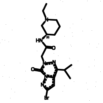 CCN1CCC[C@@H](NC(=O)Cn2nc(C(C)C)c3cc(Br)nn3c2=O)C1